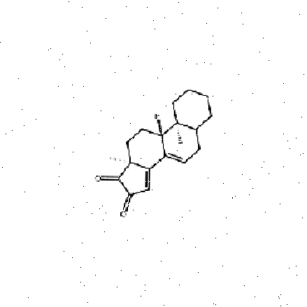 C[C@]12CC[C@H]3C(=CCC4CCCC[C@@]43C)C1=CC(=O)C2=O